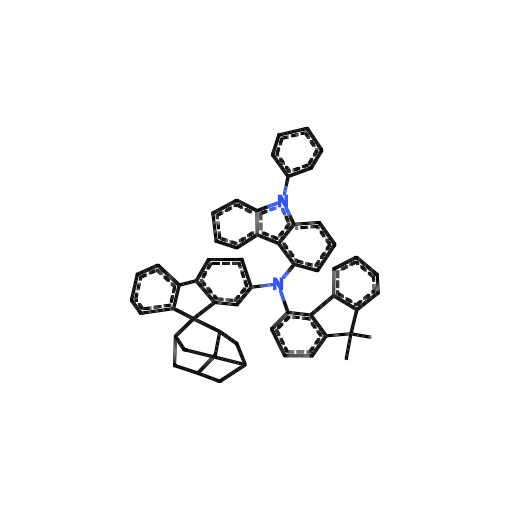 CC1(C)c2ccccc2-c2c(N(c3ccc4c(c3)C3(c5ccccc5-4)C4CC5CC(C4)CC3C5)c3cccc4c3c3ccccc3n4-c3ccccc3)cccc21